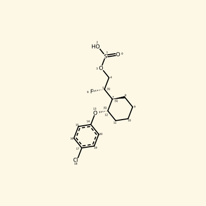 O=S(O)OC[C@@H](F)[C@H]1CCCC[C@@H]1Oc1ccc(Cl)cc1